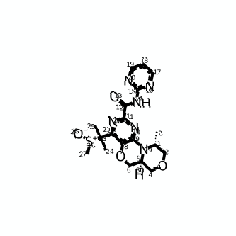 C[C@@H]1COC[C@H]2COc3c(nc(C(=O)Nc4ncccn4)nc3C(C)(C)[S+](C)[O-])N21